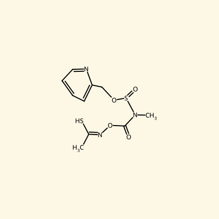 CC(S)=NOC(=O)N(C)S(=O)OCc1ccccn1